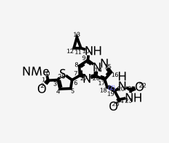 CNC(=O)C1=CCC(c2cc(NC3CC3)n3ncc(/C=C4\NC(=O)NC4=O)c3n2)S1